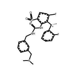 C[C@H](c1ccccc1F)c1c(F)ccc2c1NC(NCc1cccc(CN(C)C)c1)=NS2(=O)=O